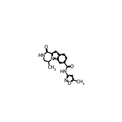 Cc1cc(NC(=O)c2ccc3cc4n(c3c2)C(C)CNC4=O)no1